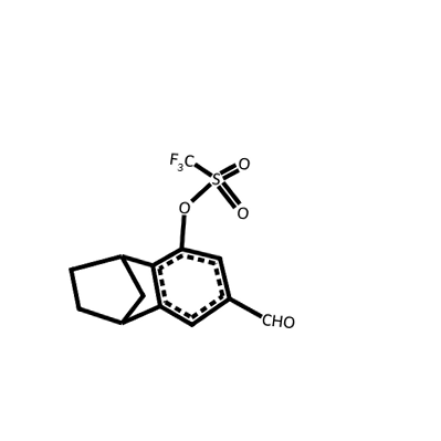 O=Cc1cc(OS(=O)(=O)C(F)(F)F)c2c(c1)C1CCC2C1